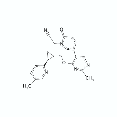 Cc1ccc([C@H]2C[C@@H]2COc2nc(C)ncc2-c2ccc(=O)n(CC#N)c2)nc1